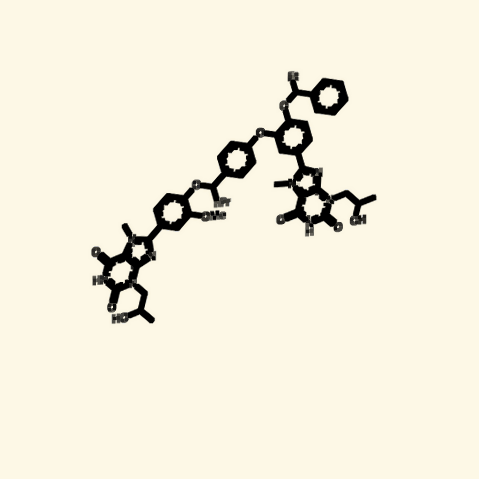 CCCC(Oc1ccc(-c2nc3c(c(=O)[nH]c(=O)n3CC(C)O)n2C)cc1OC)c1ccc(Oc2cc(-c3nc4c(c(=O)[nH]c(=O)n4CC(C)O)n3C)ccc2OC(CC)c2ccccc2)cc1